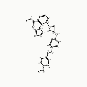 COC(=O)c1cccc(N2CC(Oc3ccc(COc4ccc(OC)nc4)cc3)C2)c1-n1cccc1